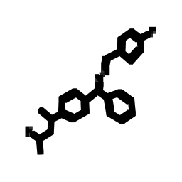 CC(F)CC(C)c1ccc(C(=NN=Cc2ccc(F)cc2)c2ccccc2)cc1